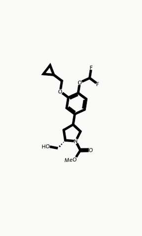 COC(=O)N1CC(c2ccc(OC(F)F)c(OCC3CC3)c2)C[C@H]1CO